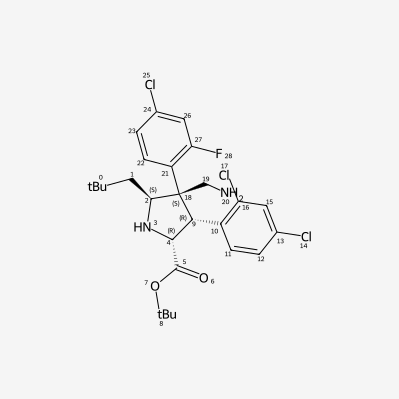 CC(C)(C)C[C@@H]1N[C@@H](C(=O)OC(C)(C)C)[C@@H](c2ccc(Cl)cc2Cl)[C@@]1(CN)c1ccc(Cl)cc1F